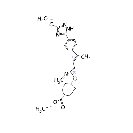 C=N/C(=C\C=C(/C)c1ccc(-c2nc(OCC)n[nH]2)cc1)O[C@H]1CC[C@@H](C(=O)OCC)CC1